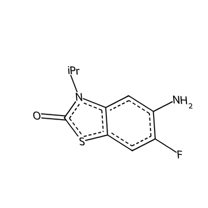 CC(C)n1c(=O)sc2cc(F)c(N)cc21